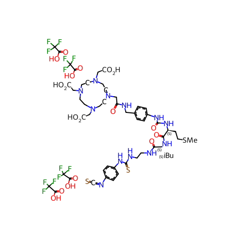 CC[C@H](C)[C@H](NC(=O)[C@H](CCSC)NC(=O)Nc1ccc(CNC(=O)CN2CCN(CC(=O)O)CCN(CC(=O)O)CCN(CC(=O)O)CC2)cc1)C(=O)NCCNC(=S)Nc1ccc(N=C=S)cc1.O=C(O)C(F)(F)F.O=C(O)C(F)(F)F.O=C(O)C(F)(F)F.O=C(O)C(F)(F)F